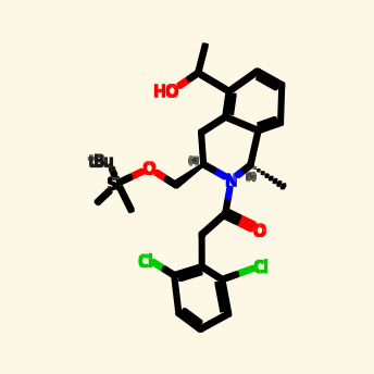 CC(O)c1cccc2c1C[C@H](CO[Si](C)(C)C(C)(C)C)N(C(=O)Cc1c(Cl)cccc1Cl)[C@H]2C